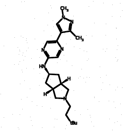 Cc1nn(C)cc1-c1cnc(N[C@H]2C[C@@H]3CN(CCC(C)(C)C)C[C@@H]3C2)cn1